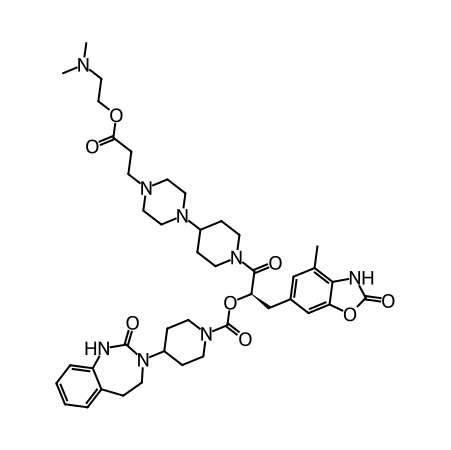 Cc1cc(C[C@@H](OC(=O)N2CCC(N3CCc4ccccc4NC3=O)CC2)C(=O)N2CCC(N3CCN(CCC(=O)OCCN(C)C)CC3)CC2)cc2oc(=O)[nH]c12